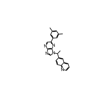 Cc1cc(C)cc(-c2cnc3ncn(C(C)c4ccc5ncccc5c4)c3n2)c1